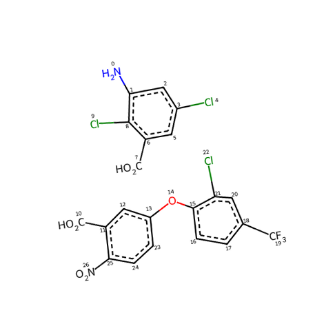 Nc1cc(Cl)cc(C(=O)O)c1Cl.O=C(O)c1cc(Oc2ccc(C(F)(F)F)cc2Cl)ccc1[N+](=O)[O-]